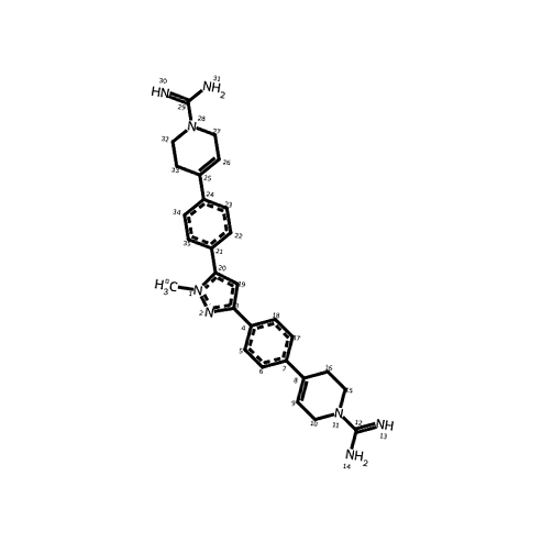 Cn1nc(-c2ccc(C3=CCN(C(=N)N)CC3)cc2)cc1-c1ccc(C2=CCN(C(=N)N)CC2)cc1